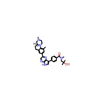 Cc1cc(-c2cnc3[nH]cc(-c4ccc(C(=O)N(C)CC(C)(C)O)cc4)c3n2)cc2c1N1CCN(C)C[C@@H]1CC2